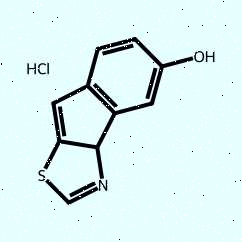 Cl.Oc1ccc2c(c1)C1N=CSC1=C2